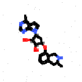 Cc1ncnc2c1ccn2[C@@H]1C[C@H](Oc2cccc3c2CNC(C)C3)[C@@H](O)[C@H]1O